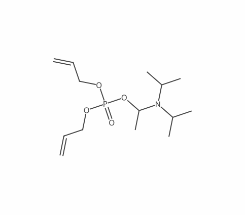 C=CCOP(=O)(OCC=C)OC(C)N(C(C)C)C(C)C